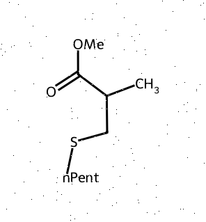 CCCCCSCC(C)C(=O)OC